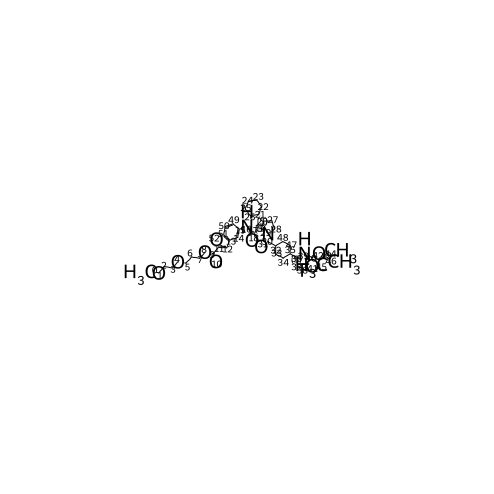 COCCOCCCOC(=O)c1cc2cc(NC(=O)[C@@H]3[C@H](C4CCCCC4)CCN3C(=O)C3CCC([C@@H](CF)NC(=O)OC(C)(C)C)CC3)ccc2o1